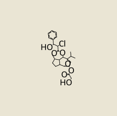 CC1CCC2C3OC(C(C)C)(CC3OC(=O)CO)C(OC(=O)C(Cl)C(O)c3ccccc3)C12